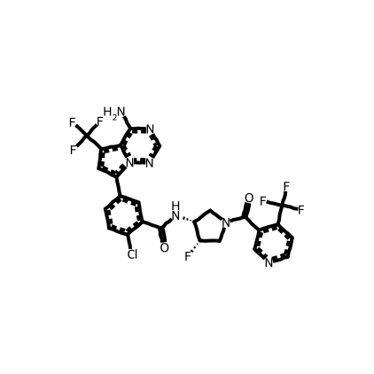 Nc1ncnn2c(-c3ccc(Cl)c(C(=O)N[C@@H]4CN(C(=O)c5cnccc5C(F)(F)F)C[C@@H]4F)c3)cc(C(F)(F)F)c12